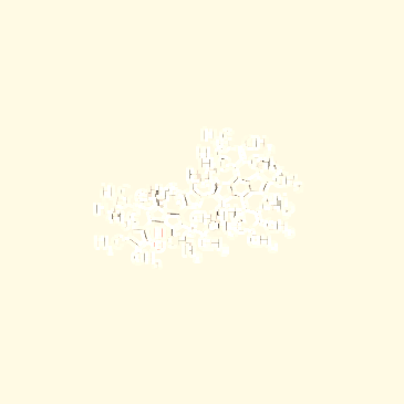 C=C1C2=C(C3=C(O)C(C)=C(C)C3)C(C(C)(C)C(C)C)C(=C)C2=C(C2=C(C)C(C)=C(C3=C(C)c4c(c(C(C)C(C)C(C)C(C)C)c5c(c4C(C)C(C)C(C)C(C)C)C(C)C(C)=C5C)C3C)C2)C1C(C)(C)C(C)C